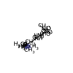 CCCCOC(=O)c1c2c(c(C(=O)O)n1CCCOC(=O)NCCNC(=O)CCCCCC\C1=C(C)/C(C)=C\C(C)=N\B(F)n3c(C)cc(C)c31)CCC#CCC2